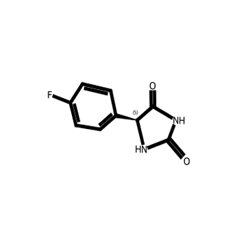 O=C1NC(=O)[C@H](c2ccc(F)cc2)N1